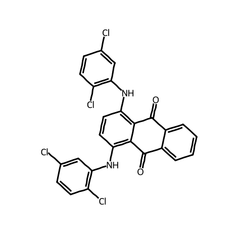 O=C1c2ccccc2C(=O)c2c(Nc3cc(Cl)ccc3Cl)ccc(Nc3cc(Cl)ccc3Cl)c21